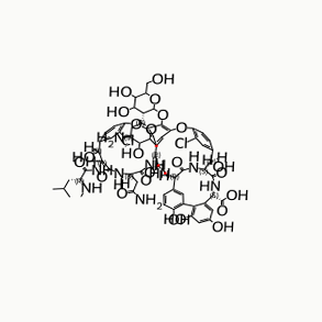 CN[C@H](CC(C)C)C(=O)N[C@H]1C(=O)N[C@@H](CC(N)=O)C(=O)N[C@H]2C(=O)N[C@H]3C(=O)N[C@H](C(=O)N[C@H](C(=O)O)c4cc(O)cc(O)c4-c4cc3ccc4O)[C@H](O)c3ccc(c(Cl)c3)Oc3cc2cc(c3OC2OC(CO)C(O)C(O)C2[C@H]2C[C@](C)(N)C(O)C(C)O2)Oc2ccc(cc2Cl)[C@H]1O